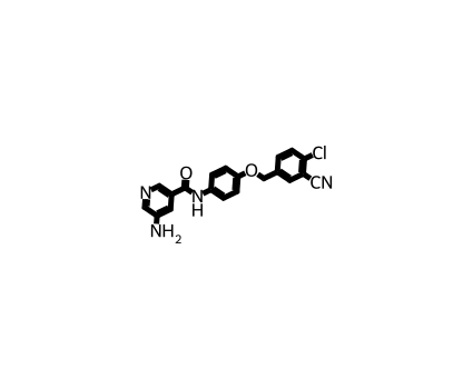 N#Cc1cc(COc2ccc(NC(=O)c3cncc(N)c3)cc2)ccc1Cl